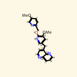 COc1ccc(COc2ncc(Cc3ccnc4cccnc34)cc2OC)nc1